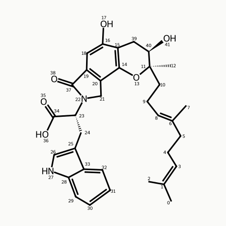 CC(C)=CCC/C(C)=C/CC[C@@]1(C)Oc2c(c(O)cc3c2CN([C@H](Cc2c[nH]c4ccccc24)C(=O)O)C3=O)C[C@H]1O